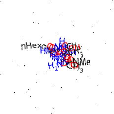 CCCCCCc1ccc(C(=O)N[C@H](CO)C(=O)N[C@H](N)C(=O)NCC(=O)N(C)[C@H](C(=O)N[C@@H](N)C(=O)N[C@@H](CC(N)=O)C(=O)NC(C)C(=O)C(=O)NC)C(C)O)cc1